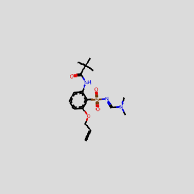 C=CCOc1cccc(NC(=O)C(C)(C)C)c1S(=O)(=O)/N=C/N(C)C